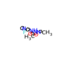 Cc1oc(N2CCC(C)C2)nc1C(=O)Nc1ccc(N2CCCCC2)c(F)c1